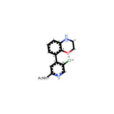 CC(=O)Nc1cc(-c2cccc3c2OCCN3)c(Cl)cn1